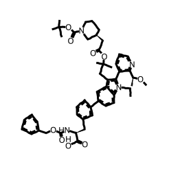 CCn1c(-c2cccnc2[C@H](C)OC)c(CC(C)(C)OC(=O)C[C@@H]2CCCN(C(=O)OC(C)(C)C)C2)c2cc(-c3cccc(C[C@H](NC(=O)OCc4ccccc4)C(=O)O)c3)ccc21